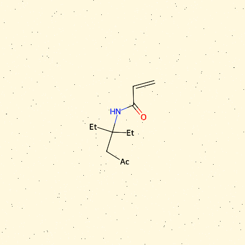 C=CC(=O)NC(CC)(CC)CC(C)=O